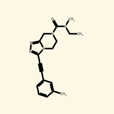 CCN(C)C(=O)N1CCn2c(C#Cc3cccc(C)c3)nnc2C1